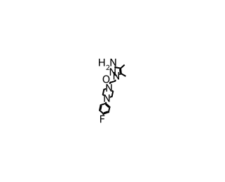 Cc1c(N)nn(CC(=O)N2CCN(c3ccc(F)cc3)CC2)c1C